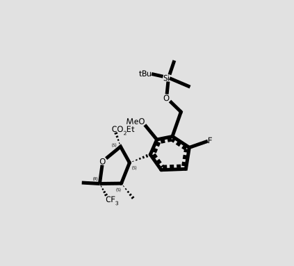 CCOC(=O)[C@H]1O[C@@](C)(C(F)(F)F)[C@@H](C)[C@H]1c1ccc(F)c(CO[Si](C)(C)C(C)(C)C)c1OC